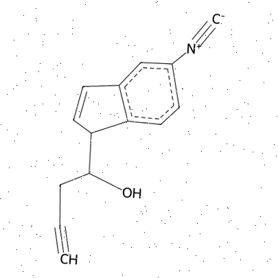 [C-]#[N+]c1ccc2c(c1)C=CC2C(O)CC#C